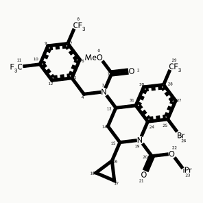 COC(=O)N(Cc1cc(C(F)(F)F)cc(C(F)(F)F)c1)C1CC(C2CC2)N(C(=O)OC(C)C)c2c(Br)cc(C(F)(F)F)cc21